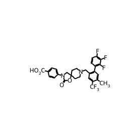 Cc1cc(-c2ccc(F)c(F)c2F)c(CN2CCC3(CC2)CN(c2ccc(C(=O)O)cc2)C(=O)O3)cc1C(F)(F)F